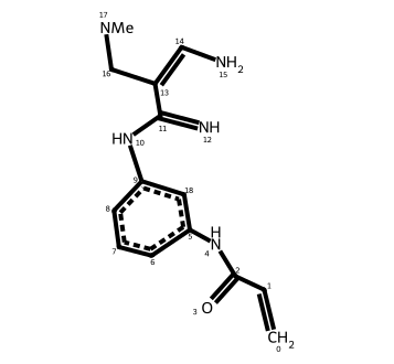 C=CC(=O)Nc1cccc(NC(=N)/C(=C\N)CNC)c1